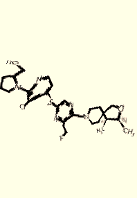 C[C@@H]1OCC2(CCN(c3ncc(Sc4ccnc(N5CCCC5CO)c4Cl)nc3CF)CC2)[C@@H]1C